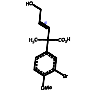 COc1ccc(C(C)(/C=C/CO)C(=O)O)cc1Br